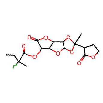 CCC(C)(F)C(=O)OC1C(=O)OC2C3OC(C)(C4CCOC4=O)OC3OC12